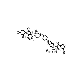 Cn1c(=O)n([C@@H]2CCC(=O)NC2=O)c2ccc(F)c([C@@H]3CCN(CC4CCC(n5cc6cc(NC(=O)c7cncc(C#N)c7)c(C(C)(C)O)cc6n5)CC4)CC3(F)F)c21